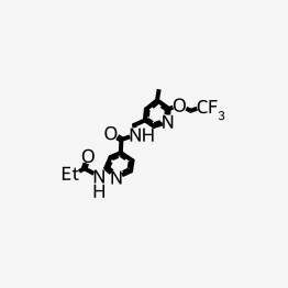 CCC(=O)Nc1cc(C(=O)NCc2cnc(OCC(F)(F)F)c(C)c2)ccn1